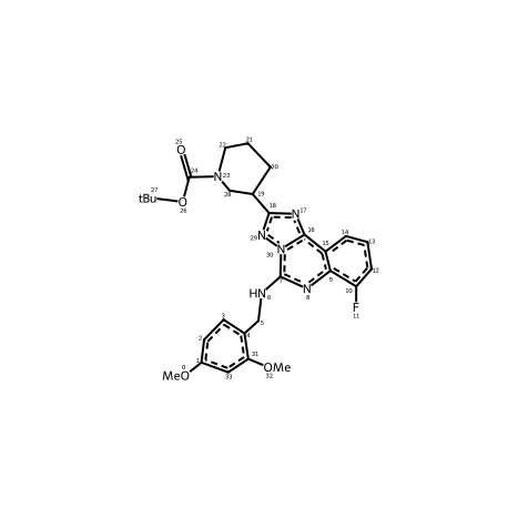 COc1ccc(CNc2nc3c(F)cccc3c3nc(C4CCCN(C(=O)OC(C)(C)C)C4)nn23)c(OC)c1